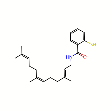 CC(C)=CCCC(C)=CCC/C(C)=C/CNC(=O)c1ccccc1S